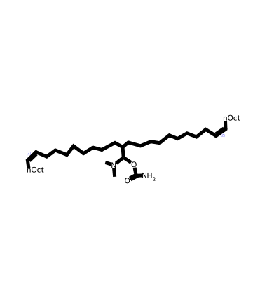 CCCCCCCC/C=C\CCCCCCCCCC(CCCCCCCC/C=C\CCCCCCCC)C(OC(N)=O)N(C)C